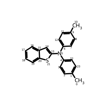 Cc1ccc(N(c2ccc(C)cc2)c2cc3ccccc3s2)cc1